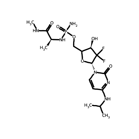 CNC(=O)[C@H](C)NP(N)(=O)OCC1O[C@@H](n2ccc(NC(C)C)nc2=O)C(F)(F)[C@@H]1O